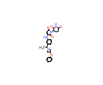 CC(c1cccc(NC2=CC(=O)N(C3CCC(=O)NC3=O)C2=O)c1)N1CC(Oc2ccccc2)C1